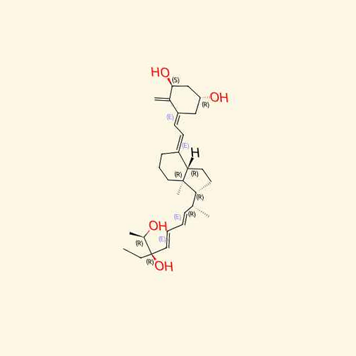 C=C1/C(=C/C=C2\CCC[C@]3(C)[C@@H]([C@H](C)/C=C/C=C/[C@](O)(CC)[C@@H](C)O)CC[C@@H]23)C[C@@H](O)C[C@@H]1O